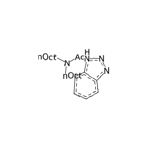 CCCCCCCCN(CCCCCCCC)C(C)=O.c1ccc2[nH]nnc2c1